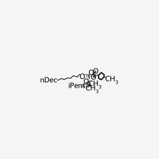 CCCCCCCCCCCCCCCCCCOC[C@@H](CO[Si](C)(C)[C@@H](C)CCC)OS(=O)(=O)c1ccc(C)cc1